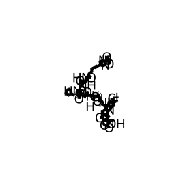 CC[C@@]1(O)C(=O)OCc2c1cc1n(c2=O)Cc2c-1nc1cc(F)c(Cl)cc1c2CNC(=O)C[C@@H](C)OCNC(=O)CNC(=O)[C@H](Cc1ccccc1)NC(=O)CNC(=O)CNC(=O)CCCC#Cc1cnc(S(C)(=O)=O)nc1